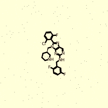 Fc1ccc(F)c(CNc2ncc3nc(-c4c(F)cccc4Cl)n(C[C@@H]4CCCNC4)c3n2)c1